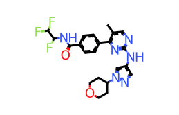 Cc1cnc(Nc2cnn(C3CCOCC3)c2)nc1-c1ccc(C(=O)NC(F)C(F)F)cc1